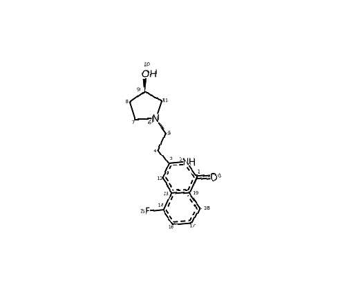 O=c1[nH]c(CCN2CC[C@@H](O)C2)cc2c(F)cccc12